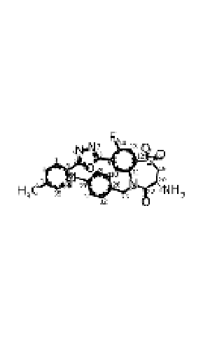 Cc1ccc(-c2nnc(-c3cc4c(cc3F)S(=O)(=O)C[C@H](N)C(=O)N4Cc3ccc(Cl)cc3)o2)nc1